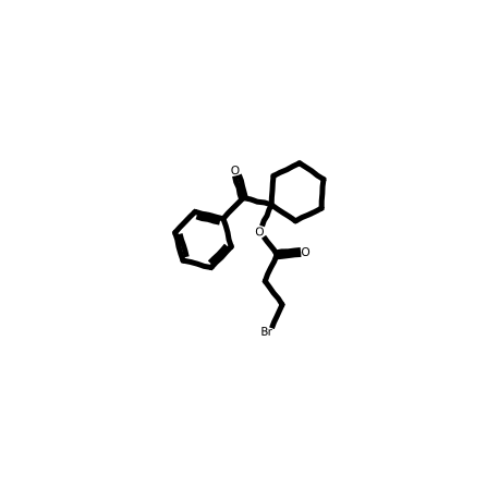 O=C(CCBr)OC1(C(=O)c2ccccc2)CCCCC1